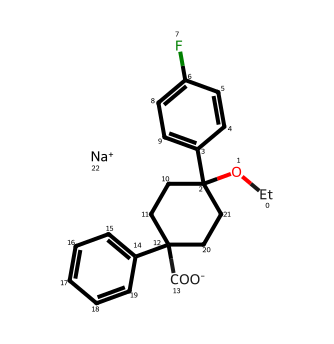 CCOC1(c2ccc(F)cc2)CCC(C(=O)[O-])(c2ccccc2)CC1.[Na+]